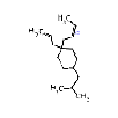 C=CCC1(C/C=C\C)CCC(CC(C)C)CC1